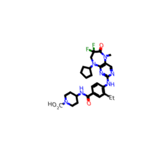 CCc1cc(C(=O)NC2CCN(C(=O)O)CC2)ccc1Nc1ncc2c(n1)N(C1CCCC1)CC(F)(F)C(=O)N2C